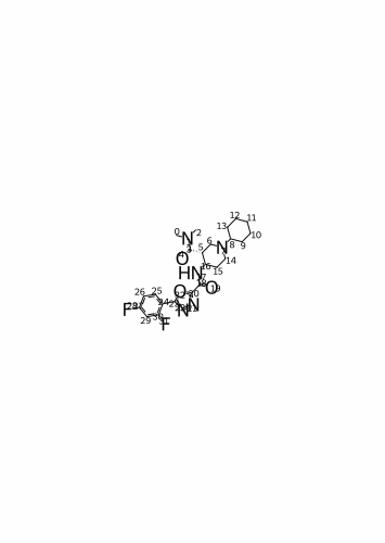 CN(C)C(=O)[C@@H]1CN(C2CCCCC2)CC[C@H]1NC(=O)c1nnc(-c2ccc(F)cc2F)o1